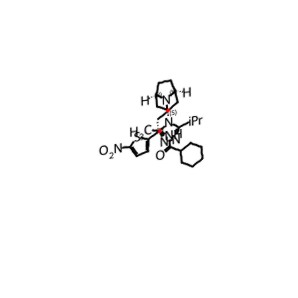 Cc1nnc(C(C)C)n1[C@@H]1C[C@H]2CC[C@@H](C1)N2CC[C@H](NC(=O)C1CCCCC1)c1ccc([N+](=O)[O-])s1